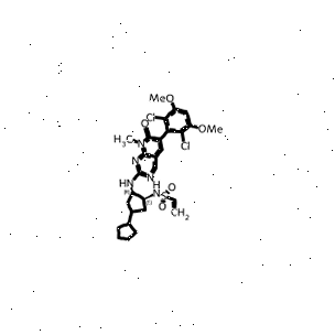 C=CS(=O)(=O)N[C@H]1CC(C2CCCC2)C[C@H]1Nc1ncc2cc(-c3c(Cl)c(OC)cc(OC)c3Cl)c(=O)n(C)c2n1